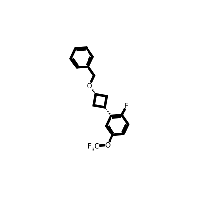 Fc1ccc(OC(F)(F)F)cc1[C@H]1C[C@@H](OCc2ccccc2)C1